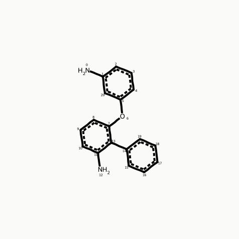 Nc1cccc(Oc2cccc(N)c2-c2ccccc2)c1